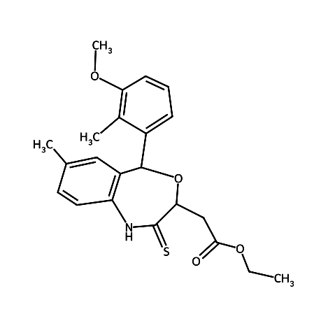 CCOC(=O)CC1OC(c2cccc(OC)c2C)c2cc(C)ccc2NC1=S